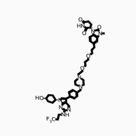 Cn1c(=O)n([C@H]2CCC(=O)NC2=O)c2ccc(CCCOCCCOCCN3CCN(Cc4ccc(-c5cn([C@H]6CC[C@H](O)CC6)c6nc(NCCC(F)(F)F)ncc56)cc4)CC3)cc21